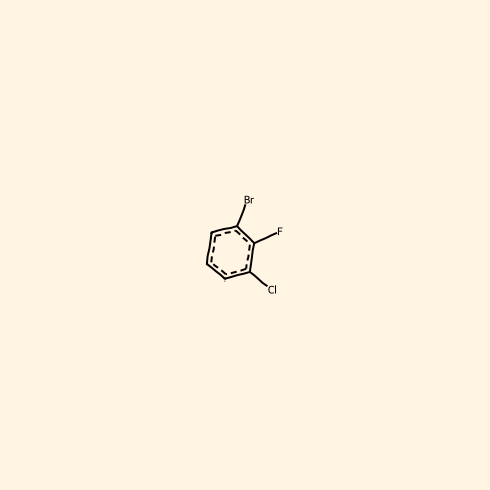 Fc1c(Cl)[c]ccc1Br